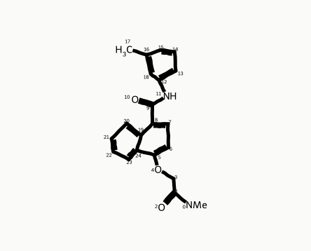 CNC(=O)COc1ccc(C(=O)Nc2cccc(C)c2)c2ccccc12